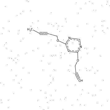 C#CCOc1cc(OCC#CC)ncn1